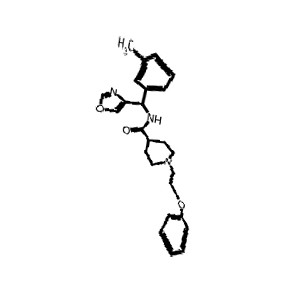 Cc1cccc(C(NC(=O)C2CCN(CCOc3ccccc3)CC2)c2cocn2)c1